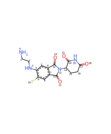 NCCNc1cc2c(cc1F)C(=O)N(C1CCC(=O)NC1=O)C2=O